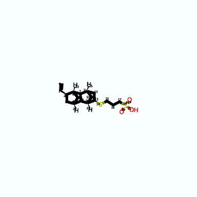 C=C[C@@H]1C[C@H]2C[C@@H]1C1C2[C@H]2C[C@@H]1C[C@H]2SCCCS(=O)(=O)O